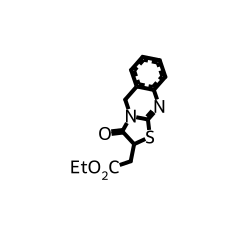 CCOC(=O)CC1SC2=Nc3ccccc3CN2C1=O